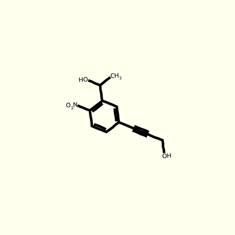 CC(O)c1cc(C#CCO)ccc1[N+](=O)[O-]